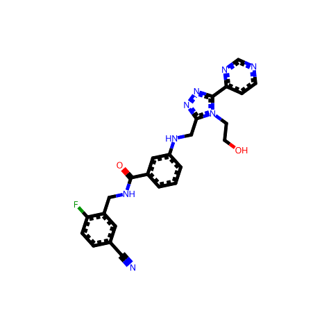 N#Cc1ccc(F)c(CNC(=O)c2cccc(NCc3nnc(-c4ccncn4)n3CCO)c2)c1